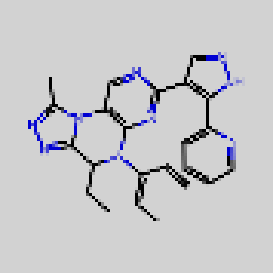 C=C/C(=C\C)N1c2nc(-c3cn[nH]c3-c3ccccn3)ncc2-n2c(C)nnc2C1CC